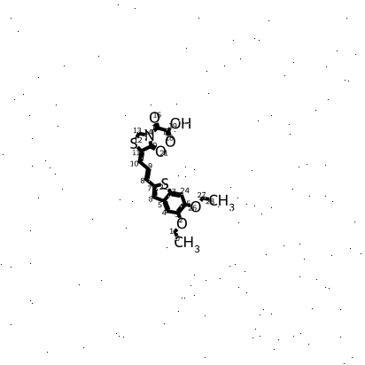 CCOc1cc2cc(C=CC=C3SCN(C(=O)C(=O)O)C3=O)sc2cc1OCC